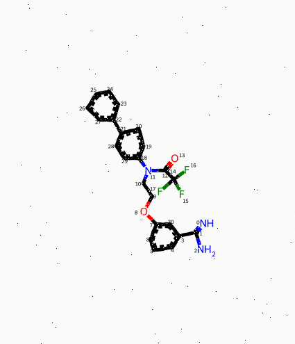 N=C(N)c1cccc(OCCN(C(=O)C(F)(F)F)c2ccc(-c3ccccc3)cc2)c1